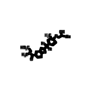 CCC(CC)(c1ccc(OCC(O)C(C)(C)C)c(C)c1)c1cc2cc(C(=O)N(C)CC(=O)O)ccc2o1